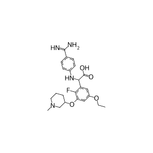 CCOc1cc(OC2CCCN(C)C2)c(F)c(C(Nc2ccc(C(=N)N)cc2)C(=O)O)c1